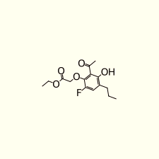 CCCc1cc(F)c(OCC(=O)OCC)c(C(C)=O)c1O